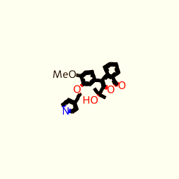 COc1ccc(-c2c(C(C)(C)O)oc(=O)c3ccccc23)cc1OCc1ccncc1